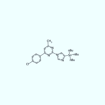 CCC[CH2][Sn]([CH2]CCC)([CH2]CCC)[c]1cn(-c2nc(C)cc(-c3ccc(Cl)cc3)n2)cn1